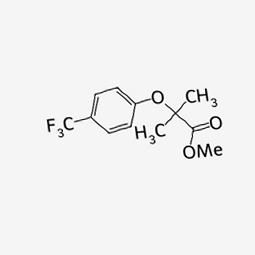 COC(=O)C(C)(C)Oc1ccc(C(F)(F)F)cc1